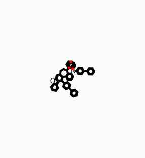 c1ccc(-c2ccc(-c3c4c(cc5oc6ccccc6c35)CCC(c3ccccc3)c3c-4cccc3N(c3ccccc3)c3ccc(-c4ccccc4)cc3)cc2)cc1